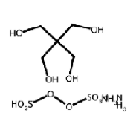 N.N.O=S(=O)(O)OOS(=O)(=O)O.OCC(CO)(CO)CO